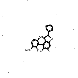 COc1ccc(C)c(-c2c(Cl)c(F)cc3c2CC(c2ccccc2)O3)c1F